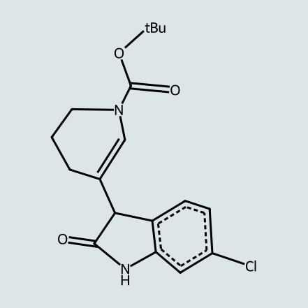 CC(C)(C)OC(=O)N1C=C(C2C(=O)Nc3cc(Cl)ccc32)CCC1